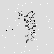 N[N+]12C=CN=CC1=C(C1=CC=C1)N=C2c1ccc(Oc2ccc(F)cc2)cc1